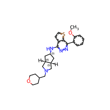 COc1ccccc1-c1nnc(N[C@H]2C[C@@H]3CN(CC4CCOCC4)C[C@@H]3C2)c2ccsc12